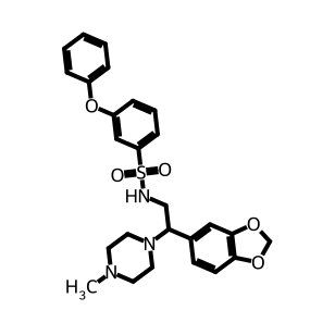 CN1CCN(C(CNS(=O)(=O)c2cccc(Oc3ccccc3)c2)c2ccc3c(c2)OCO3)CC1